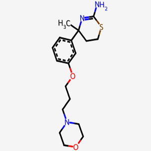 CC1(c2cccc(OCCCN3CCOCC3)c2)CCSC(N)=N1